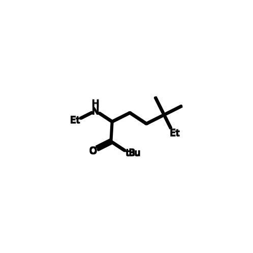 CCNC(CCC(C)(C)CC)C(=O)C(C)(C)C